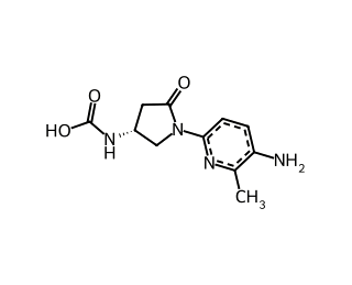 Cc1nc(N2C[C@H](NC(=O)O)CC2=O)ccc1N